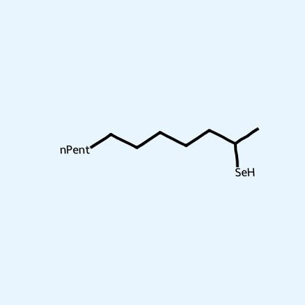 CCCCCCCCCCC(C)[SeH]